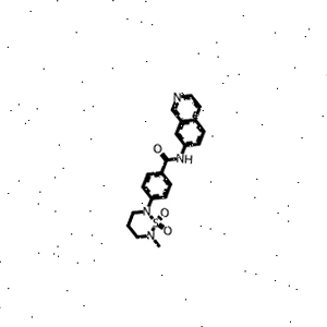 CN1CCCN(c2ccc(C(=O)Nc3ccc4ccncc4c3)cc2)S1(=O)=O